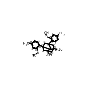 CCCC12CC3(c4ccc(C)cc4OC#N)CC(c4ccc(C)cc4OC#N)(C1)CC(C(C)(C)C)(C2)C3